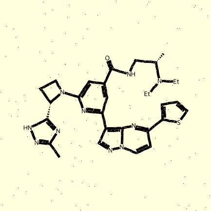 CCN(CC)[C@@H](C)CNC(=O)c1cc(-c2cnn3ccc(-c4cccs4)nc23)nc(N2CC[C@H]2c2nc(C)n[nH]2)c1